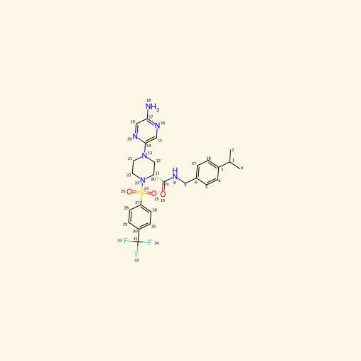 CC(C)c1ccc(CNC(=O)[C@H]2CN(c3cnc(N)cn3)CCN2S(=O)(=O)c2ccc(C(F)(F)F)cc2)cc1